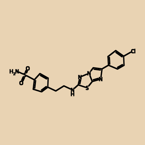 NS(=O)(=O)c1ccc(CCNc2nn3cc(-c4ccc(Cl)cc4)nc3s2)cc1